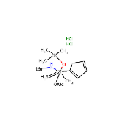 C[O][Zr]([CH3])(=[SiH2])([NH]C(C)(C)C)([O][Si](C)(C)C)[C]1=CC=CC1.Cl.Cl